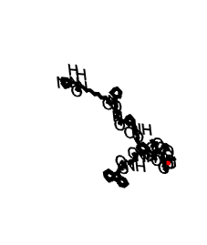 COC(=O)[C@H]1O[C@@H](Oc2ccc(COC(=O)Nc3cccc(C(=O)N(C)CCON(C(=O)CCCCCCNC(=O)Nc4ccncc4)C4CCCCC4)c3)cc2NC(=O)CCNC(=O)OCC2c3ccccc3-c3ccccc32)[C@H](OC(C)=O)[C@@H](OC(C)=O)[C@@H]1OC(C)=O